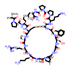 CCCC[C@@H]1NC(=O)[C@H](CCCCN)NC(=O)[C@H](CCCNC(=N)N)NC(=O)[C@H](CC(C)C)NC(=O)C(NC(=O)[C@H](CCSC)NC(=O)[C@@H]2CCCN2C(=O)[C@@H](NC(C)=O)C(C)C)CCSSC[C@@H](C(=O)NC(CCCCN)C(=O)N2CCC[C@H]2C(=O)N2CCC[C@H]2C(=O)N[C@@H](CCC(=O)O)C(N)=O)NC(=O)[C@H](Cc2ccccc2)NC(=O)[C@H](CO)NC(=O)[C@H](C)NC(=O)[C@@H]2C[C@@H](F)CN2C1=O